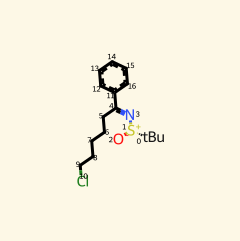 CC(C)(C)[S@+]([O-])N=C(CCCCCCl)c1ccccc1